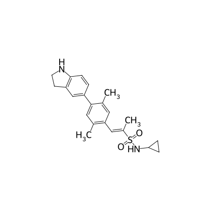 C/C(=C\c1cc(C)c(-c2ccc3c(c2)CCN3)cc1C)S(=O)(=O)NC1CC1